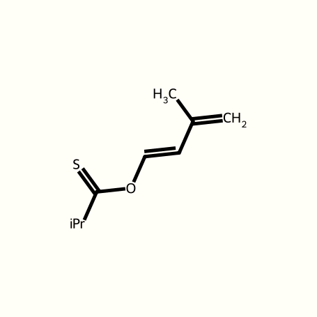 C=C(C)C=COC(=S)C(C)C